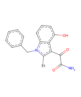 CCc1c(C(=O)C(N)=O)c2c(O)cccc2n1Cc1ccccc1